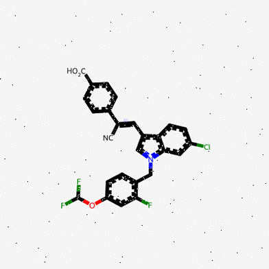 N#C/C(=C\c1cn(Cc2ccc(OC(F)F)cc2F)c2cc(Cl)ccc12)c1ccc(C(=O)O)cc1